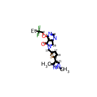 CCC(F)(F)COc1ncnc2c1C(=O)N(Cc1ccc(-c3cn(C)nc3C)s1)C2